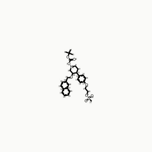 CC(C)(C)OC(=O)ON1CCC(c2ccc(OCCOS(C)(=O)=O)cc2)C(OCc2ccc3ccccc3c2)C1